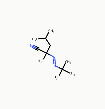 CC(C)CC(C)(C#N)N=NC(C)(C)C